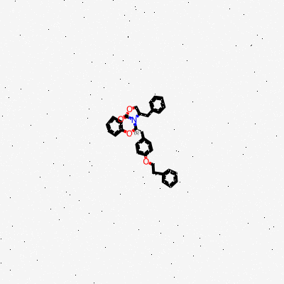 O=C1OCC(Cc2ccccc2)N1[C@H](Cc1ccc(OCCc2ccccc2)cc1)Oc1ccccc1